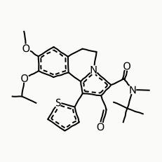 COc1cc2c(cc1OC(C)C)-c1c(-c3cccs3)c(C=O)c(C(=O)N(C)C(C)(C)C)n1CC2